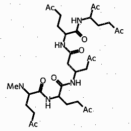 CNC(CCC(C)=O)C(=O)NC(CCC(C)=O)C(=O)NC(CC(C)=O)CC(=O)NC(CCC(C)=O)C(=O)NC(CCC(C)=O)C(C)=O